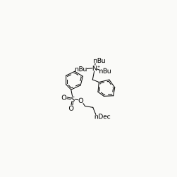 CCCCCCCCCCCCOS(=O)(=O)c1ccccc1.CCCC[N+](CCCC)(CCCC)Cc1ccccc1